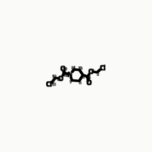 O=C(OCCl)C1CCN(C(=O)OCCl)CC1